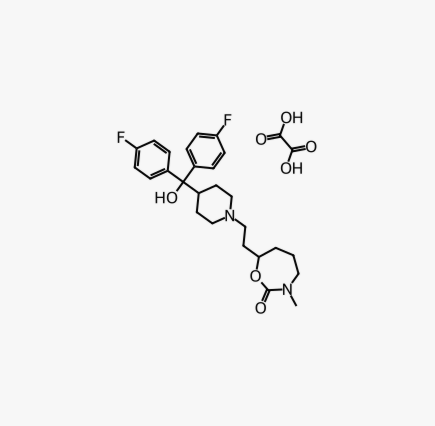 CN1CCCC(CCN2CCC(C(O)(c3ccc(F)cc3)c3ccc(F)cc3)CC2)OC1=O.O=C(O)C(=O)O